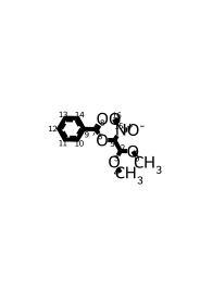 COC(OC)C(OC(=O)c1ccccc1)[N+](=O)[O-]